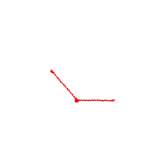 NC(=O)CCCCCCCCCCCCCCCCCCCCCCCCCCCN1CCN=C1CCCCCCCCCCCCCCCCCCCCCCCCCCC(N)=O